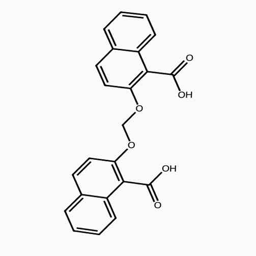 O=C(O)c1c(OCOc2ccc3ccccc3c2C(=O)O)ccc2ccccc12